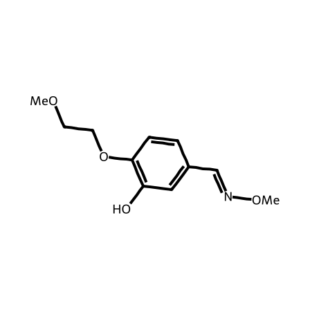 COCCOc1ccc(C=NOC)cc1O